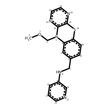 COCN1c2cc(CNc3cccnc3)ccc2Sc2nccnc21